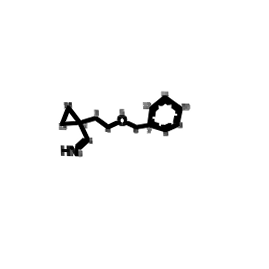 N=CC1(CCOCc2ccccc2)CC1